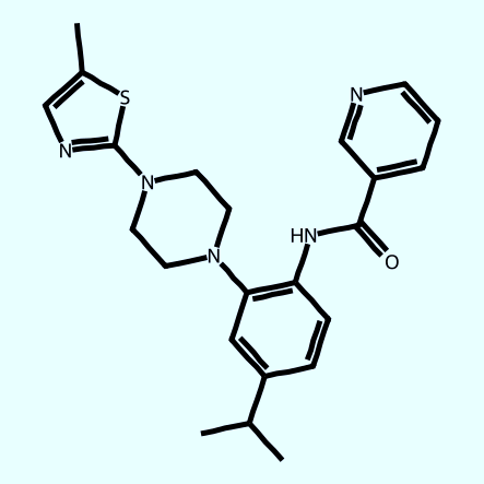 Cc1cnc(N2CCN(c3cc(C(C)C)ccc3NC(=O)c3cccnc3)CC2)s1